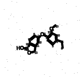 CCc1ccc(Oc2ccc3c(c2)COB3O)c(OC)c1